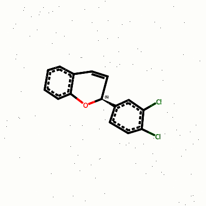 Clc1ccc([C@@H]2C=Cc3ccccc3O2)cc1Cl